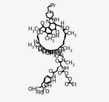 CCC(=O)OCOC(=O)N[C@@H](CCC(=O)Nc1ccc(CC(C=O)P(=O)(O)O)cc1)C(=O)N(C)CC(=O)O[C@@H]1[C@@H](C)[C@@H](O)[C@@H](C)[C@H](C)[C@H](C)[C@@H](C)/C=C/O[C@@]2(C)Oc3c(C)c(O)c4c(c3C2=O)C2=NC3(CCN(CC(C)C)CC3)NC2=C(NC(=O)/C(C)=C\C=C\[C@@H]1C)C4=O